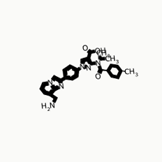 CC(C)N(c1nn(-c2ccc(-c3cn4cccc(CN)c4n3)cc2)cc1C(=O)O)C(=O)[C@H]1CC[C@H](C)CC1